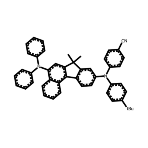 CC(C)(C)c1ccc(N(c2ccc(C#N)cc2)c2ccc3c(c2)C(C)(C)c2cc(N(c4ccccc4)c4ccccc4)c4ccccc4c2-3)cc1